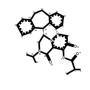 CC(C)C(=O)Oc1c2n(ncc1=O)[C@@H](C1c3ccccc3CCc3ccccc31)CN(C(C)C)C2=O